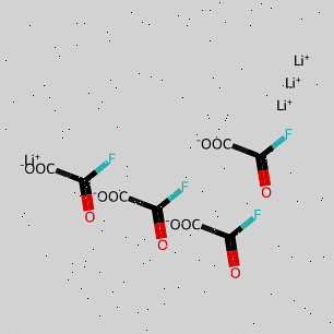 O=C([O-])C(=O)F.O=C([O-])C(=O)F.O=C([O-])C(=O)F.O=C([O-])C(=O)F.[Li+].[Li+].[Li+].[Li+]